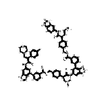 Cc1ccc(C(CN2CCNCC2)C(=O)Nc2cc(-c3cccc(C(=O)OCc4ccc(C(CN(C)C)C(=O)Nc5cc(-c6cccc(C(=O)OCc7ccc(C(CCN)C(=O)Nc8ccc9nnsc9c8)cc7)c6)c6nnsc6c5)cc4)c3)c3nnsc3c2)cc1